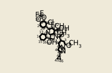 COc1cc(C(=O)NC[C@@](O)(c2ccccc2)c2cc(C(C)(C)O)c(F)c(-c3ccc4c(c3Cl)OC(F)(F)O4)n2)cc2cc(C3CC3)nn12